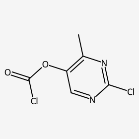 Cc1nc(Cl)ncc1OC(=O)Cl